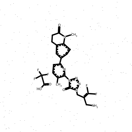 Cc1ccc(-c2ccc3c(c2)CCC(=O)N3C)nc1-n1nnn(CC(CN)=C(F)F)c1=O.O=C(O)C(F)(F)F